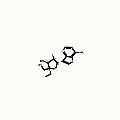 CC[C@]1(CO)O[C@@H](c2csc3c(N)ccnc23)[C@H](F)[C@@H]1O